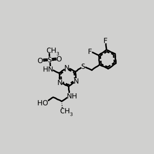 C[C@H](CO)Nc1nc(NS(C)(=O)=O)nc(SCc2cccc(F)c2F)n1